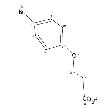 O=C(O)CCOc1ccc(Br)cc1